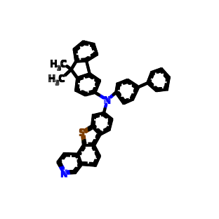 CC1(C)c2ccccc2-c2cc(N(c3ccc(-c4ccccc4)cc3)c3ccc4c(c3)sc3c5ccncc5ccc43)ccc21